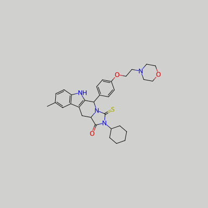 Cc1ccc2[nH]c3c(c2c1)CC1C(=O)N(C2CCCCC2)C(=S)N1C3c1ccc(OCCN2CCOCC2)cc1